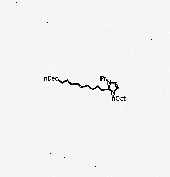 CCCCCCCCCCCCCCCCCCCC1N(CCCCCCCC)C=CN1C(C)C